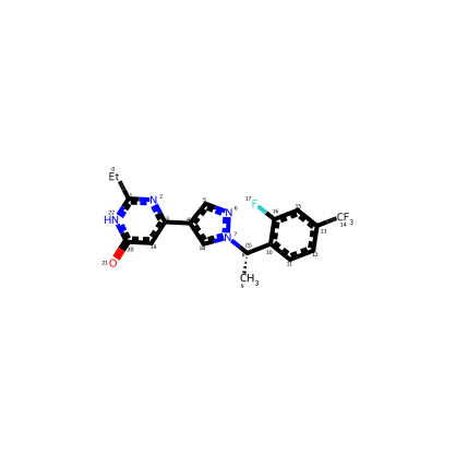 CCc1nc(-c2cnn([C@@H](C)c3ccc(C(F)(F)F)cc3F)c2)cc(=O)[nH]1